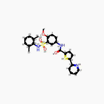 COc1ccc(NC(=O)c2ccc(-c3ccccn3)s2)cc1S(=O)(=O)Nc1c(C)cccc1C